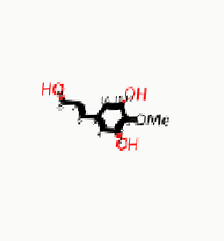 COc1c(O)cc(/C=C/CO)cc1O